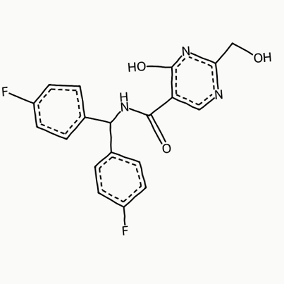 O=C(NC(c1ccc(F)cc1)c1ccc(F)cc1)c1cnc(CO)nc1O